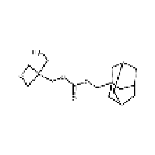 CCC1(COC(=O)OCC23CC4CC(CC(C4)C2)C3)COC1